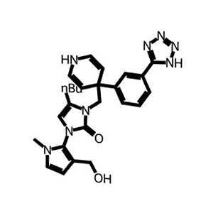 CCCCc1cn(-c2c(CO)ccn2C)c(=O)n1CC1(c2cccc(-c3nnn[nH]3)c2)C=CNC=C1